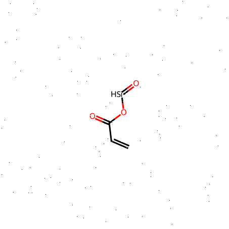 C=CC(=O)O[SiH]=O